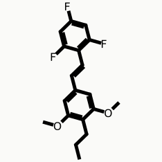 CCCc1c(OC)cc(C=Cc2c(F)cc(F)cc2F)cc1OC